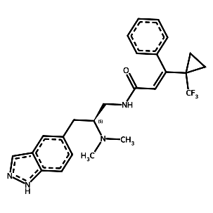 CN(C)[C@H](CNC(=O)C=C(c1ccccc1)C1(C(F)(F)F)CC1)Cc1ccc2[nH]ncc2c1